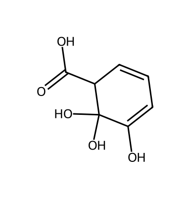 O=C(O)C1C=CC=C(O)C1(O)O